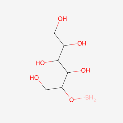 BOC(CO)C(O)C(O)C(O)CO